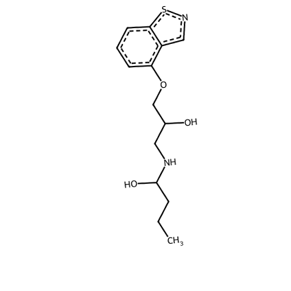 CCCC(O)NCC(O)COc1cccc2sncc12